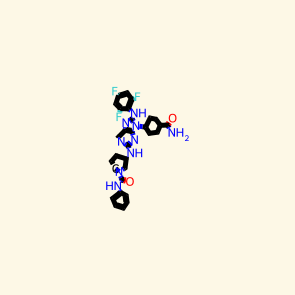 NC(=O)C1CCC(n2c(Nc3c(F)cc(F)cc3F)nc3cnc(N[C@@H]4CCCN(C(=O)Nc5ccccc5)C4)nc32)CC1